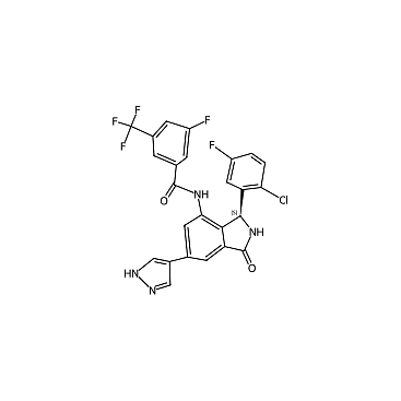 O=C(Nc1cc(-c2cn[nH]c2)cc2c1[C@@H](c1cc(F)ccc1Cl)NC2=O)c1cc(F)cc(C(F)(F)F)c1